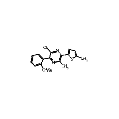 COc1ccccc1-c1nc(C)c(-c2ccc(C)s2)nc1Cl